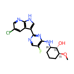 CO[C@H]1CCC[C@@H](Nc2nc(-c3c[nH]c4ncc(Cl)cc34)ncc2F)[C@@H]1O